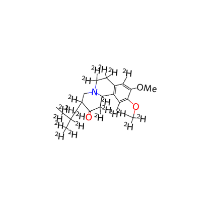 [2H]c1c(OC)c(OC([2H])([2H])[2H])c([2H])c2c1C([2H])([2H])C([2H])([2H])N1CC([2H])(C([2H])([2H])C([2H])(C([2H])([2H])[2H])C([2H])([2H])C)C(=O)C([2H])([2H])C21[2H]